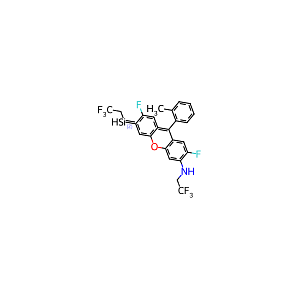 Cc1ccccc1C1=c2cc(F)/c(=[SiH]\CC(F)(F)F)cc2Oc2cc(NCC(F)(F)F)c(F)cc21